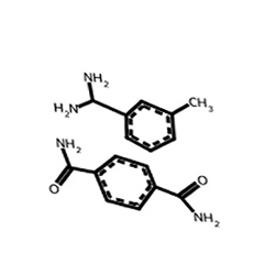 Cc1cccc(C(N)N)c1.NC(=O)c1ccc(C(N)=O)cc1